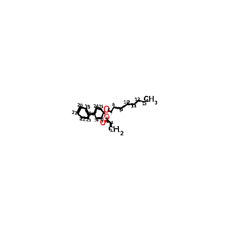 C=CC(=O)OC1(OCCCCCCCC)C=CC(c2ccccc2)=CC1